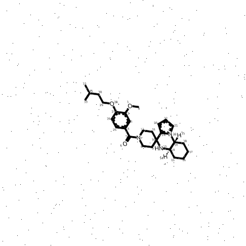 COc1cc(C(=O)N2CCC3(CC2)N[C@@H]2CCCC[C@H]2n2cccc23)ccc1OCCC(C)C